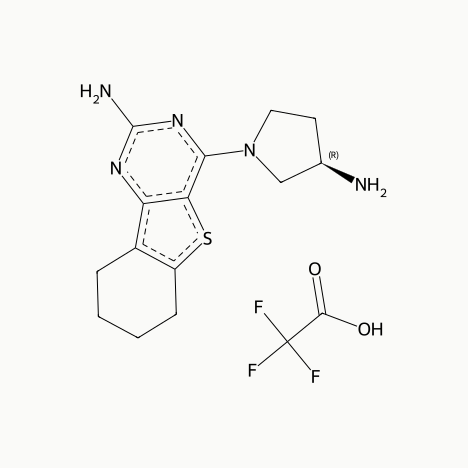 Nc1nc(N2CC[C@@H](N)C2)c2sc3c(c2n1)CCCC3.O=C(O)C(F)(F)F